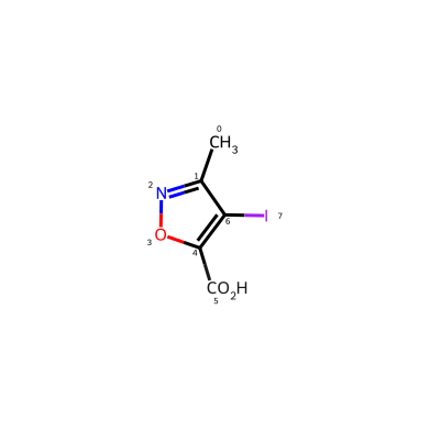 Cc1noc(C(=O)O)c1I